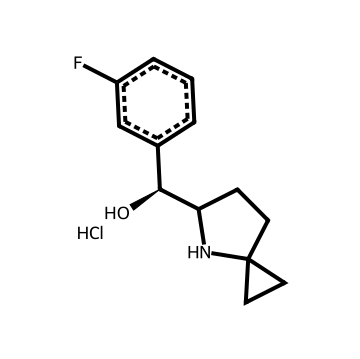 Cl.O[C@@H](c1cccc(F)c1)C1CCC2(CC2)N1